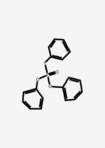 O=P(Oc1ccccc1)(Oc1ccccc1)[I]c1ccccc1